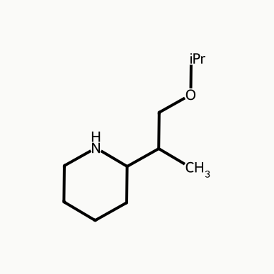 CC(C)OCC(C)C1CCCCN1